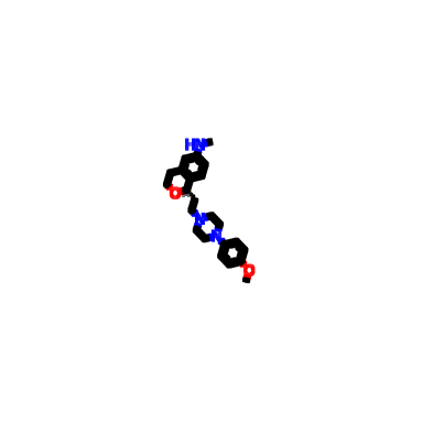 CNc1ccc2c(c1)CCO[C@H]2CCN1CCN(c2ccc(OC)cc2)CC1